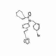 O=C(C1CCCCC1)N(Cc1ccc(Br)cc1)c1cccc(C=Cc2ncco2)c1